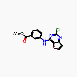 COC(=O)c1cccc(Nc2nc(Cl)nc3ccsc23)c1